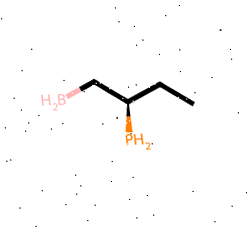 BC[C@H](P)CC